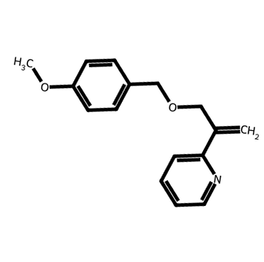 C=C(COCc1ccc(OC)cc1)c1ccccn1